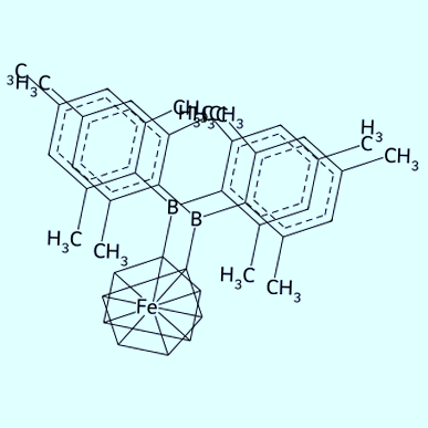 Cc1cc(C)c(B(c2c(C)cc(C)cc2C)[C]23[CH]4[CH]5[CH]6[CH]2[Fe]56432789[CH]3[CH]2[CH]7[C]8(B(c2c(C)cc(C)cc2C)c2c(C)cc(C)cc2C)[CH]39)c(C)c1